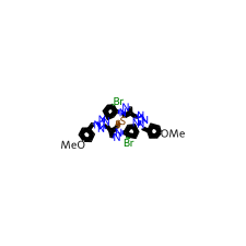 COc1ccc(Cn2nnc(-c3cnn(-c4ccccc4Br)c3SSc3c(-c4nnn(Cc5ccc(OC)cc5)n4)cnn3-c3ccccc3Br)n2)cc1